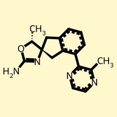 Cc1nccnc1-c1cccc2c1C[C@@]1(C2)N=C(N)O[C@@H]1C